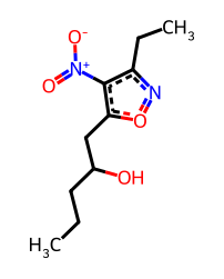 CCCC(O)Cc1onc(CC)c1[N+](=O)[O-]